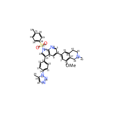 COc1cc(-c2cnc3c(c2)c(-c2ccc(-n4nncc4C)cc2)cn3S(=O)(=O)c2ccc(C)cc2)cc2c1CN(C)CC2